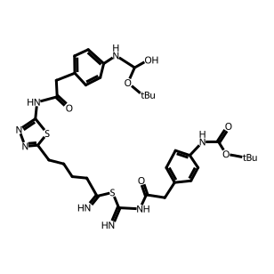 CC(C)(C)OC(=O)Nc1ccc(CC(=O)NC(=N)SC(=N)CCCCc2nnc(NC(=O)Cc3ccc(NC(O)OC(C)(C)C)cc3)s2)cc1